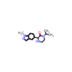 CC(C)N1CCNC(c2ccc3c(cnn3C)c2)C1=O